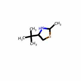 CC1NC(C(C)(C)C)CS1